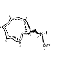 CC(C)(C)Nc1bcccc1